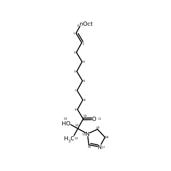 CCCCCCCCC=CCCCCCCCC(=O)C(C)(O)N1C=NCC1